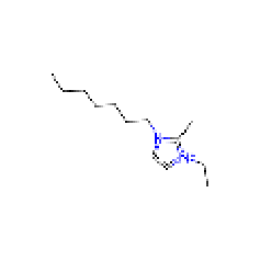 CCCCCCCn1cc[n+](CC)c1C